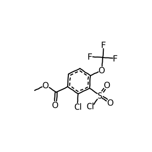 COC(=O)c1ccc(OC(F)(F)F)c(S(=O)(=O)Cl)c1Cl